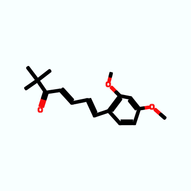 COc1ccc(/C=C/C=C/C(=O)C(C)(C)C)c(OC)c1